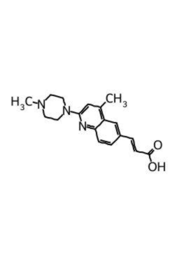 Cc1cc(N2CCN(C)CC2)nc2ccc(/C=C/C(=O)O)cc12